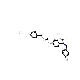 COc1ccc(/C=C2/C(=O)Nc3cc(NC(=O)NC(=O)c4ccc(OC)cc4)ccc32)cc1